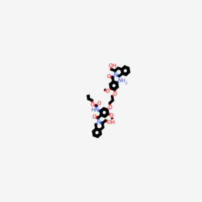 C=CCOC(=O)Nc1cc(OCCCOc2cc(N)c(C(=O)N3Cc4ccccc4CC3CO)cc2OC)c(OC)cc1C(=O)N1Cc2ccccc2CC1CO